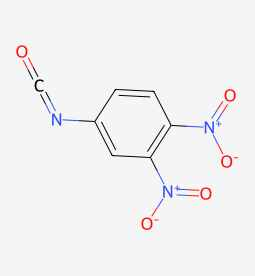 O=C=Nc1ccc([N+](=O)[O-])c([N+](=O)[O-])c1